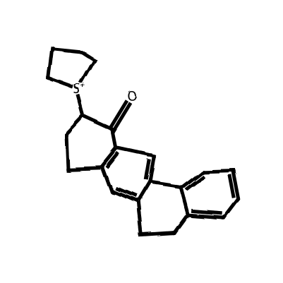 O=C1c2cc3c(cc2CCC1[S+]1CCCC1)CCc1ccccc1-3